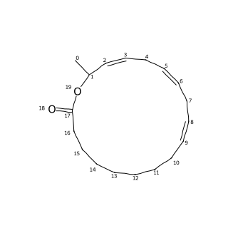 CC1/C=C\C/C=C\C/C=C\CCCCCCCC(=O)O1